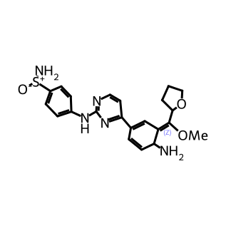 CO/C(=C1/C=C(c2ccnc(Nc3ccc([S+](N)[O-])cc3)n2)C=CC1N)C1CCCO1